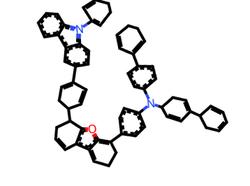 C1=CCC(C2=CCC(N(c3ccc(C4=CCCC=C4)cc3)c3ccc(C4=c5oc6c(c5=CCC4)C=CCC6C4C=CC(c5ccc6c(c5)c5ccccc5n6C5=CCCC=C5)=CC4)cc3)C=C2)C=C1